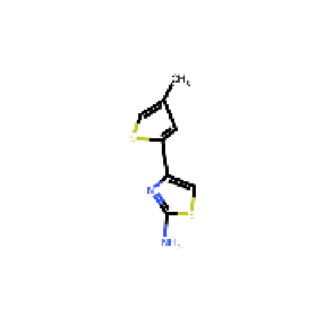 Cc1csc(-c2csc(N)n2)c1